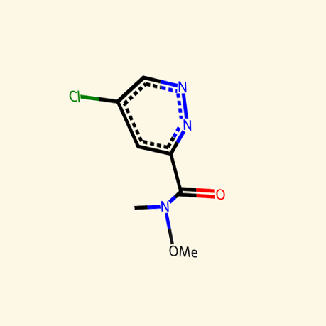 CON(C)C(=O)c1cc(Cl)cnn1